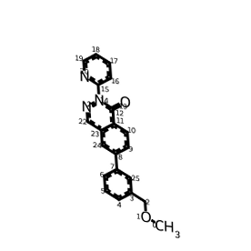 COCc1cccc(-c2ccc3c(=O)n(-c4ccccn4)ncc3c2)c1